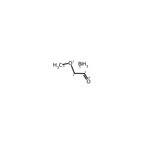 COCC=O.[BiH3]